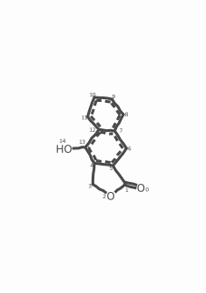 O=C1OCc2c1cc1ccccc1c2O